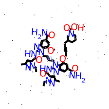 CCn1nc(C)cc1C(=O)Nc1nc2cc(C(N)=O)cc(OC)c2n1C/C=C/Cn1c(NC(=O)c2cc(C)nn2CC)nc2cc(C(N)=O)cc(OCC#CCC3CCCN(C(=O)O)C3)c21